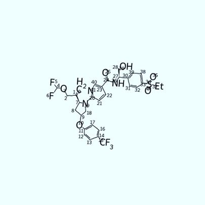 C=C(COC(F)F)[C@@H]1CC(Oc2ccc(C(F)(F)F)cc2)CN1c1ccc(C(=O)N[C@@H](CO)c2ccc(S(=O)(=O)CC)cc2)cn1